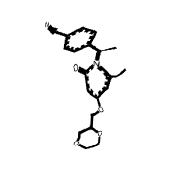 Cc1cc(OCC2COCCO2)cc(=O)n1[C@H](C)c1ccc(C#N)cc1